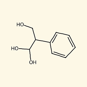 OCC(c1ccccc1)C(O)O